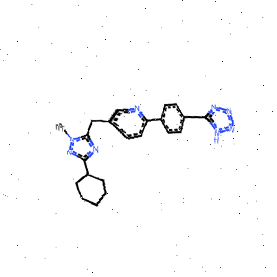 CCCn1nc(C2CCCCC2)nc1Cc1ccc(-c2ccc(-c3nnn[nH]3)cc2)nc1